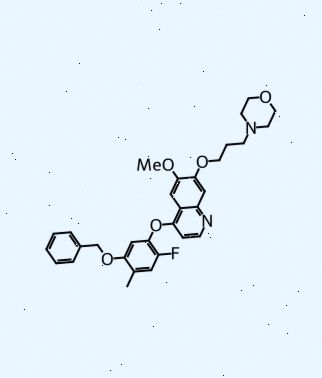 COc1cc2c(Oc3cc(OCc4ccccc4)c(C)cc3F)ccnc2cc1OCCCN1CCOCC1